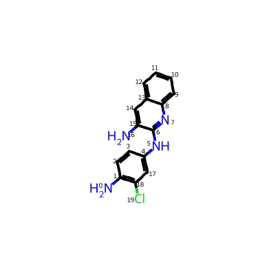 Nc1ccc(Nc2nc3ccccc3cc2N)cc1Cl